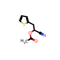 CC(=O)OC(C#N)Cc1cccs1